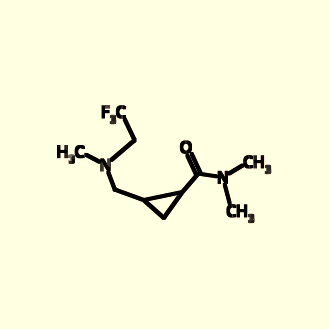 CN(CC1CC1C(=O)N(C)C)CC(F)(F)F